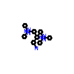 N#Cc1cccc(-c2ccc(-c3ccccc3-c3nc(-c4ccccc4)nc(-c4ccccc4)n3)c(-c3cccc(-c4nc(-c5ccccc5)nc(-c5ccccc5)n4)c3)c2)c1